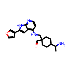 CC(N)C1CCC(C=O)(CNc2ccnc3[nH]c(-c4ccoc4)cc23)CC1